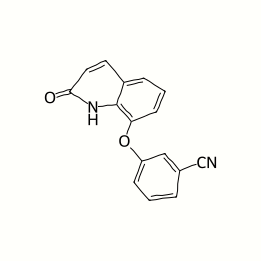 N#Cc1cccc(Oc2cccc3ccc(=O)[nH]c23)c1